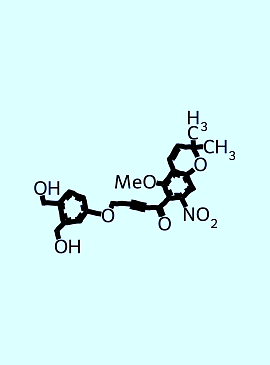 COc1c2c(cc([N+](=O)[O-])c1C(=O)C#CCOc1ccc(CO)c(CO)c1)OC(C)(C)C=C2